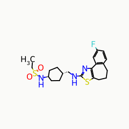 CCS(=O)(=O)N[C@H]1CC[C@H](CNc2nc3c(s2)CCCc2ccc(F)cc2-3)CC1